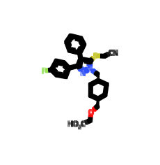 N#CCSc1c(-c2ccccc2)c(-c2ccc(F)cc2)nn1C[C@H]1CC[C@H](COCC(=O)O)CC1